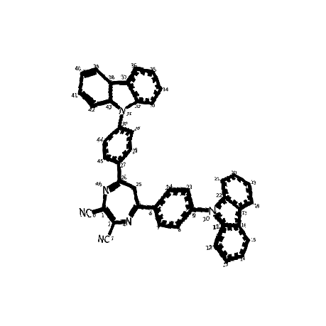 N#CC1=C(C#N)N=C(c2ccc(-n3c4ccccc4c4ccccc43)cc2)CC(c2ccc(N3c4ccccc4C4C=CC=CC43)cc2)=N1